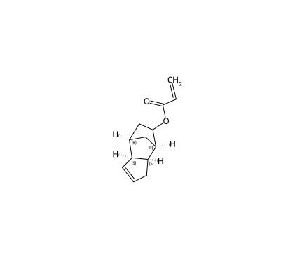 C=CC(=O)OC1C[C@H]2C[C@@H]1[C@H]1CC=C[C@@H]21